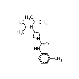 Cc1cccc(NC(=O)N2CC(N(C(C)C)C(C)C)C2)c1